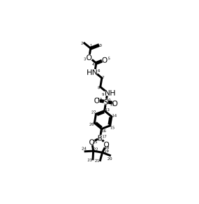 C=C(C)OC(=O)NCCNS(=O)(=O)c1ccc(B2OC(C)(C)C(C)(C)O2)cc1